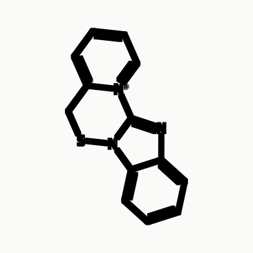 c1cc[n+]2c(c1)CSn1c-2nc2ccccc21